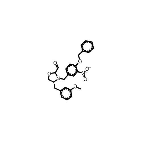 COc1cccc(C[C@H]2COC(C=O)N2Cc2ccc(OCc3ccccc3)c([N+](=O)[O-])c2)c1